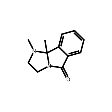 CN1CCN2C(=O)c3ccccc3C12C